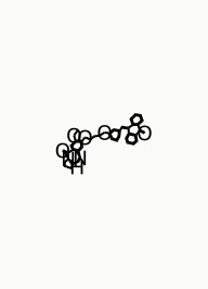 COc1cc2c(cc1OCCCOc1cccc(C=C3c4ccccc4C(=O)c4ccccc43)c1)N=C[C@@H]1CCCN1C2=O